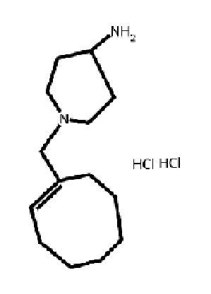 Cl.Cl.NC1CCN(CC2=CCCCCCC2)CC1